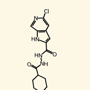 O=C(NNC(=O)C1CCOCC1)c1cc2cc(Cl)ncc2[nH]1